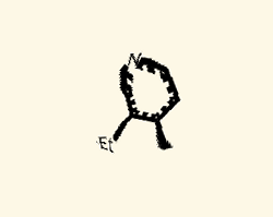 C[CH]c1cnccc1C